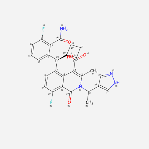 Cc1c(C(=O)O)c2c([C@@H](c3cccc(F)c3C(N)=O)C3CCC3)ccc(F)c2c(=O)n1C(C)c1cn[nH]c1